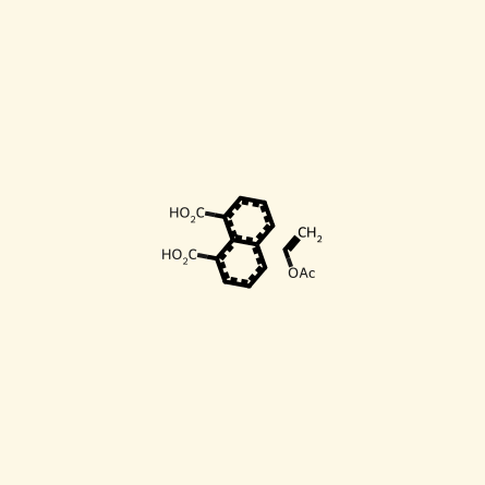 C=COC(C)=O.O=C(O)c1cccc2cccc(C(=O)O)c12